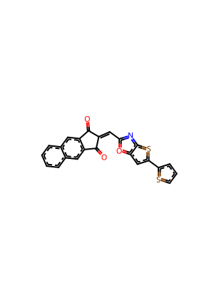 O=C1C(=Cc2nc3sc(-c4cccs4)cc3o2)C(=O)c2cc3ccccc3cc21